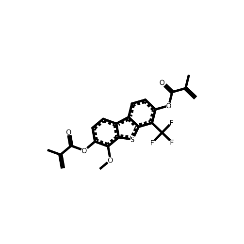 C=C(C)C(=O)Oc1ccc2c(sc3c(C(F)(F)F)c(OC(=O)C(=C)C)ccc32)c1OC